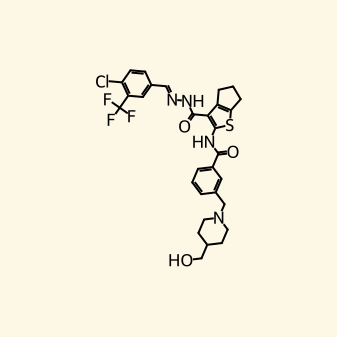 O=C(Nc1sc2c(c1C(=O)NN=Cc1ccc(Cl)c(C(F)(F)F)c1)CCC2)c1cccc(CN2CCC(CO)CC2)c1